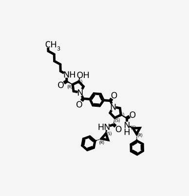 CCCCCCNC(=O)[C@@H]1CN(C(=O)c2ccc(C(=O)N3C[C@@H](C(=O)N[C@H]4C[C@@H]4c4ccccc4)[C@H](C(=O)N[C@H]4C[C@@H]4c4ccccc4)C3)cc2)C[C@H]1O